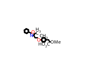 COC(Cc1ccc(OCCc2nc(-c3ccccc3)oc2C)c(C)c1)C(=O)O